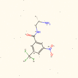 C[C@H](N)CNC(=O)c1cc([N+](=O)[O-])cc(C(F)(F)F)c1